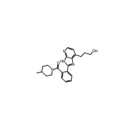 CN1CCN(C(=O)c2ccccc2-c2nc3c(CCCO)ccnc3[nH]2)CC1